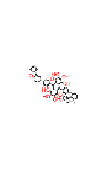 CC1(C)c2ccccc2-c2ccc(-c3c4c(O)c(O)c(O)c(O)c4c(-c4ccc(-c5ccc6oc7ccccc7c6c5)cc4)c4c(O)c(O)c(O)c(O)c34)cc21